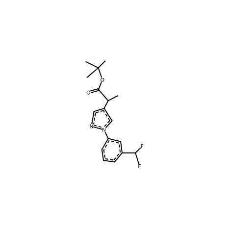 CC(C(=O)OC(C)(C)C)c1cnn(-c2cccc(C(F)F)c2)c1